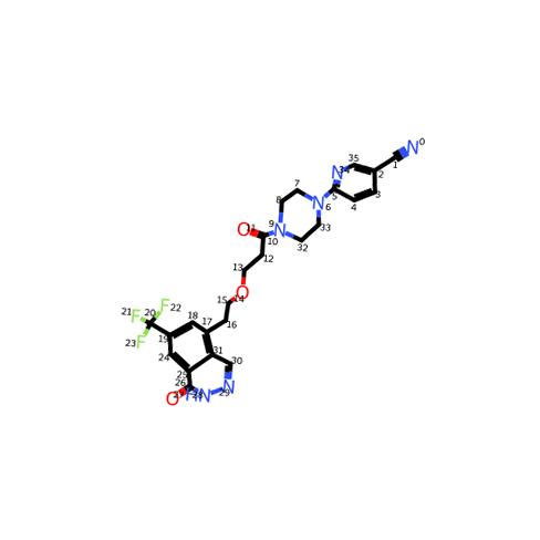 N#Cc1ccc(N2CCN(C(=O)CCOCCc3cc(C(F)(F)F)cc4c(=O)[nH]ncc34)CC2)nc1